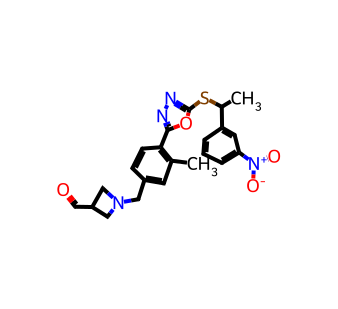 Cc1cc(CN2CC(C=O)C2)ccc1-c1nnc(SC(C)c2cccc([N+](=O)[O-])c2)o1